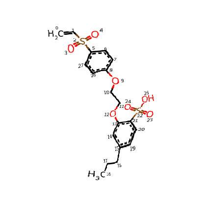 C=CS(=O)(=O)c1ccc(OCCOc2cc(CCC)ccc2S(=O)(=O)O)cc1